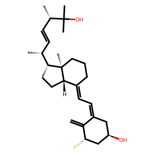 C=C1/C(=C\C=C2/CCC[C@]3(C)[C@@H]([C@H](C)/C=C/[C@H](C)C(C)(C)O)CC[C@@H]23)C[C@@H](O)C[C@@H]1F